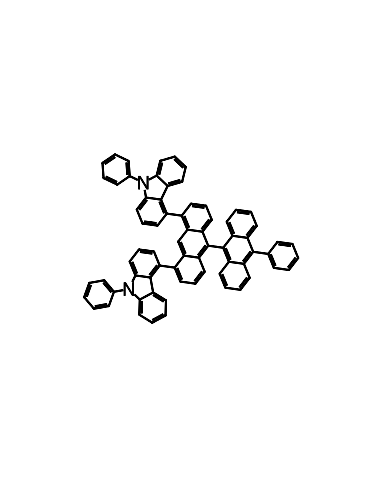 c1ccc(-c2c3ccccc3c(-c3c4cccc(-c5cccc6c5c5ccccc5n6-c5ccccc5)c4cc4c(-c5cccc6c5c5ccccc5n6-c5ccccc5)cccc34)c3ccccc23)cc1